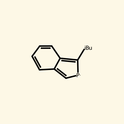 CCC(C)C1=c2ccccc2=C[P]1